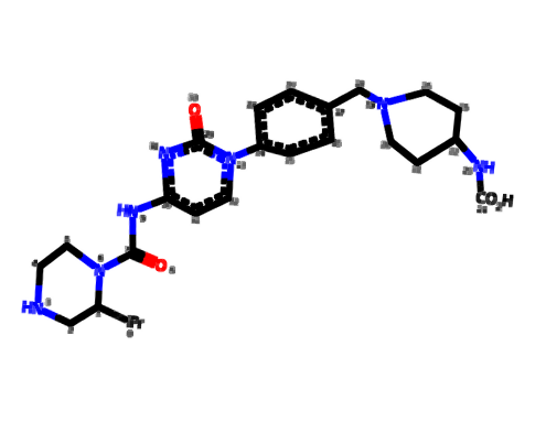 CC(C)C1CNCCN1C(=O)Nc1ccn(-c2ccc(CN3CCC(NC(=O)O)CC3)cc2)c(=O)n1